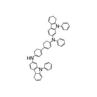 C1=CCC2C(=C1)N(c1ccccc1)c1cc(NC3=CC=C(C4=CC=C(N(c5ccccc5)c5ccc6c7c(n(-c8ccccc8)c6c5)CCC=C7)CC4)CC3)ccc12